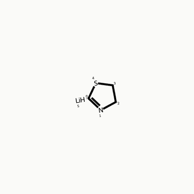 [C]1=NCCS1.[LiH]